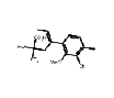 CC=C(CC(O)(C(=O)O)C(F)(F)F)c1ccc(F)c(CC)c1OC